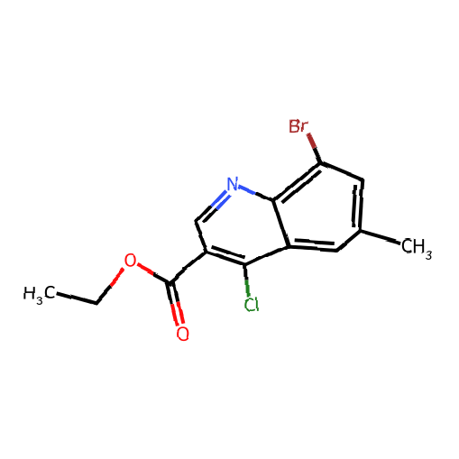 CCOC(=O)c1cnc2c(Br)cc(C)cc2c1Cl